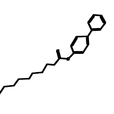 CCCCCCCCCC(=O)Oc1ccc(-c2ccccc2)cc1